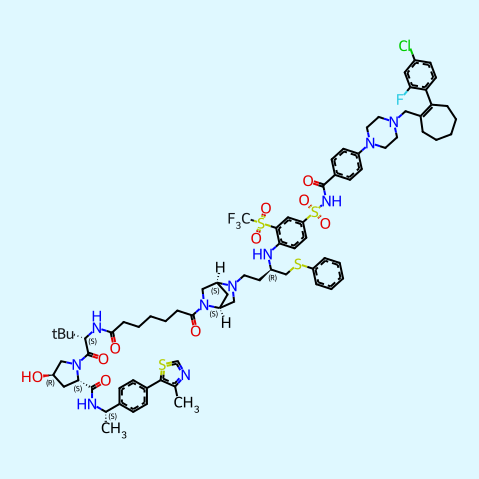 Cc1ncsc1-c1ccc([C@H](C)NC(=O)[C@@H]2C[C@@H](O)CN2C(=O)[C@@H](NC(=O)CCCCCC(=O)N2C[C@@H]3C[C@H]2CN3CC[C@H](CSc2ccccc2)Nc2ccc(S(=O)(=O)NC(=O)c3ccc(N4CCN(CC5=C(c6ccc(Cl)cc6F)CCCCC5)CC4)cc3)cc2S(=O)(=O)C(F)(F)F)C(C)(C)C)cc1